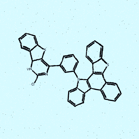 ClC1=NC(c2cccc(-n3c4ccccc4c4c5ccccc5c5sc6ccccc6c5c43)c2)=C2Sc3ccccc3C2N1